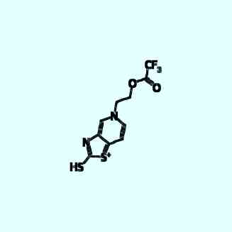 O=C(OCCn1ccc2[s+]c(S)nc-2c1)C(F)(F)F